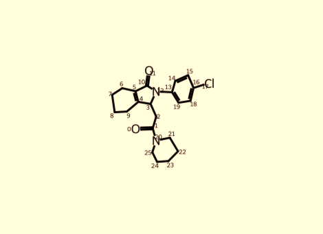 O=C(CC1C2=C(CCCC2)C(=O)N1c1ccc(Cl)cc1)N1CCCCC1